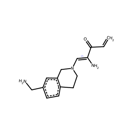 C=CC(=O)/C(N)=C/N1CCc2ccc(CN)cc2C1